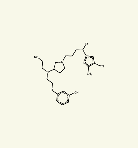 CCC(CCCN1CCC(N(CCC#N)CCOc2cccc(C#N)c2)C1)c1cc(C#N)c(C)s1